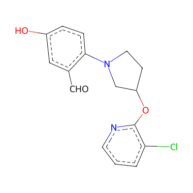 O=Cc1cc(O)ccc1N1CCC(Oc2ncccc2Cl)C1